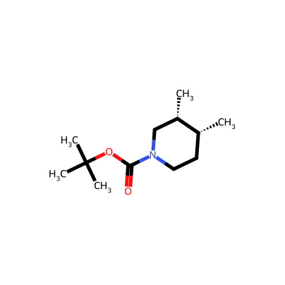 C[C@@H]1CCN(C(=O)OC(C)(C)C)C[C@@H]1C